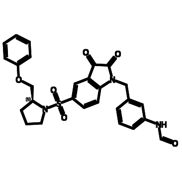 O=CNc1cccc(CN2C(=O)C(=O)c3cc(S(=O)(=O)N4CCC[C@H]4COc4ccccc4)ccc32)c1